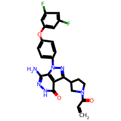 C=CC(=O)N1CCC(c2nn(-c3ccc(Oc4cc(F)cc(F)c4)cc3)c3c(N)n[nH]c(=O)c23)C1